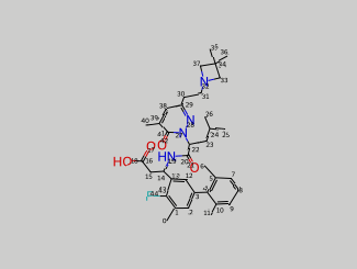 Cc1cc(-c2c(C)cccc2C)cc(C(CC(=O)O)NC(=O)C(CC(C)C)n2nc(CCN3CC(C)(C)C3)cc(C)c2=O)c1F